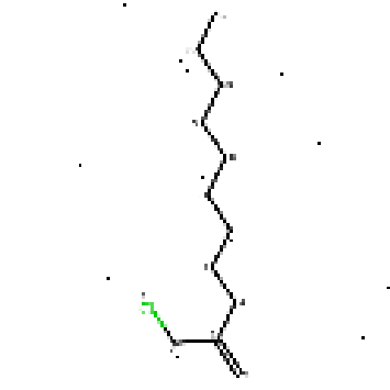 C=C(CCl)CCCCCCCCC